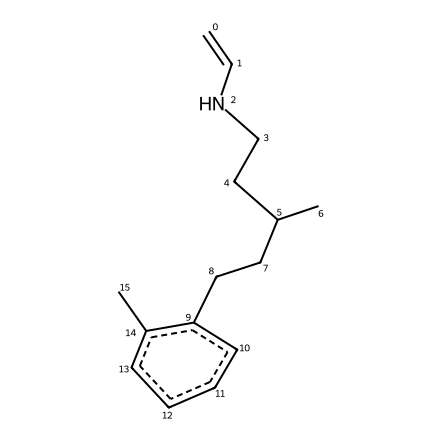 C=CNCCC(C)CCc1ccccc1C